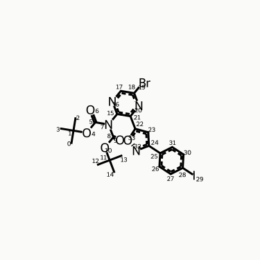 CC(C)(C)OC(=O)N(C(=O)OC(C)(C)C)c1ncc(Br)nc1-c1cc(-c2ccc(I)cc2)no1